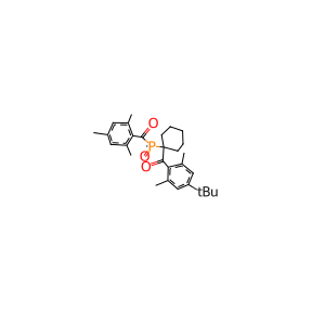 Cc1cc(C)c(C(=O)[P](=O)C2(C(=O)c3c(C)cc(C(C)(C)C)cc3C)CCCCC2)c(C)c1